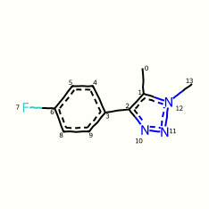 Cc1c(-c2ccc(F)cc2)nnn1C